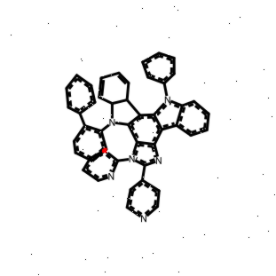 C1=CC2c3c(c4c(nc(-c5ccncc5)n4-c4ncccn4)c4c5ccccc5n(-c5ccccc5)c34)N(c3ccccc3-c3ccccc3)C2C=C1